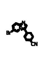 N#CC1=CC=C(c2cnc3ccc(Br)cn23)CC1